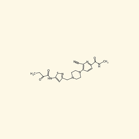 CCC(=O)C(=O)Nc1cc(CN2CCN(c3ccc(C(=O)NC)nc3C#N)CC2)ns1